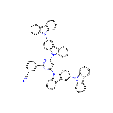 N#Cc1cccc(-c2nc(-n3c4ccccc4c4cc(-n5c6ccccc6c6ccccc65)ccc43)cc(-n3c4ccccc4c4cc(-n5c6ccccc6c6ccccc65)ccc43)n2)c1